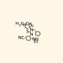 CCNc1ccc(C#N)cc1N=C1SC(=CN(C)C)C(=O)N1Cc1ccccc1